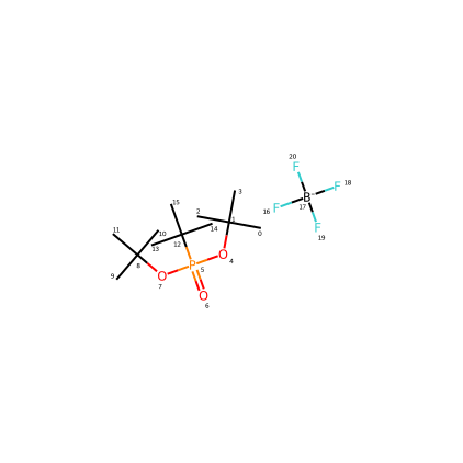 CC(C)(C)OP(=O)(OC(C)(C)C)C(C)(C)C.F[B-](F)(F)F